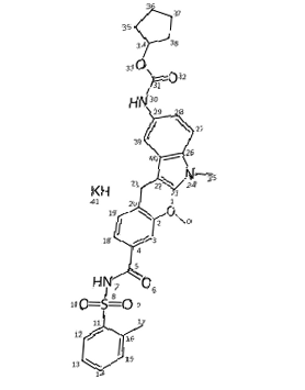 COc1cc(C(=O)NS(=O)(=O)c2ccccc2C)ccc1Cc1cn(C)c2ccc(NC(=O)OC3CCCC3)cc12.[KH]